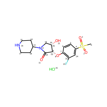 CS(=O)(=O)c1ccc(O[C@@H]2C(=O)N(C3CCNCC3)C[C@@H]2O)c(F)c1.Cl